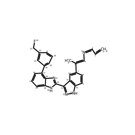 C=C/C=N\C=C(/C)c1ccc2[nH]nc(-c3nc4c(-c5cccc(CF)c5)cccc4[nH]3)c2c1